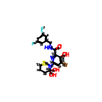 O=C(NCc1cc(F)cc(F)c1)c1nc(N2SCCCC2(O)O)cc(Br)c1O